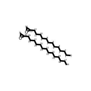 CCCCCCCCCCCCCC1CO1.CCCCCCCCCCCCCCC1CO1